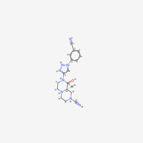 N#Cc1cccc(-n2cc(N3CCN4CCN(C#N)C[C@@H]4C3=O)nn2)c1